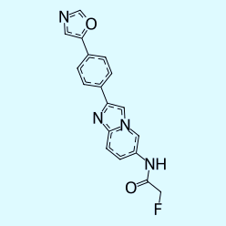 O=C(CF)Nc1ccc2nc(-c3ccc(-c4cnco4)cc3)cn2c1